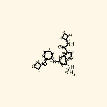 CNc1cc(Nc2cccnc2OC2COC2)nc2c(C(=O)NC3CCC3)cnn12